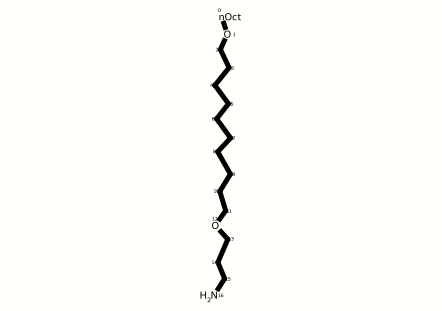 CCCCCCCCOCCCCCCCCCCOCCCN